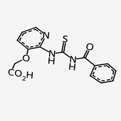 O=C(O)COc1cccnc1NC(=S)NC(=O)c1ccccc1